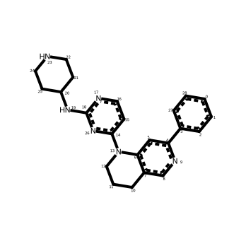 c1ccc(-c2cc3c(cn2)CCCN3c2ccnc(NC3CCNCC3)n2)cc1